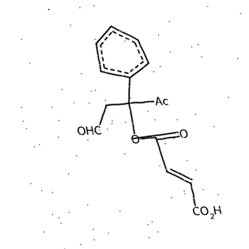 CC(=O)C(CC=O)(OC(=O)C=CC(=O)O)c1ccccc1